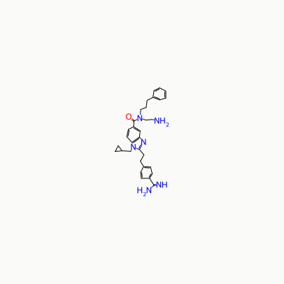 N=C(N)c1ccc(CCc2nc3cc(C(=O)N(CCN)CCCc4ccccc4)ccc3n2CC2CC2)cc1